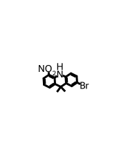 CC1(C)c2cc(Br)ccc2Nc2c([N+](=O)[O-])cccc21